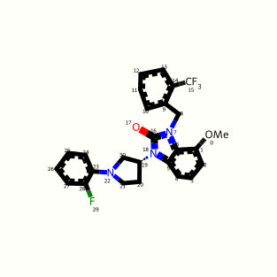 COc1cccc2c1n(Cc1ccccc1C(F)(F)F)c(=O)n2[C@@H]1CCN(c2ccccc2F)C1